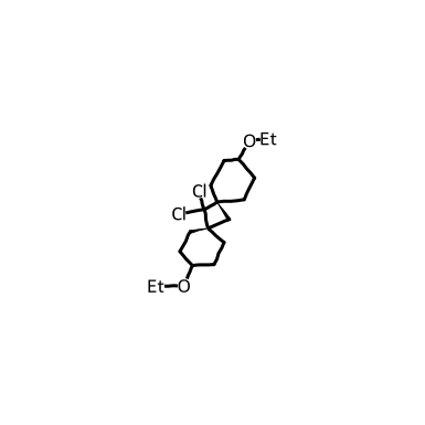 CCOC1CC[C@]2(CC1)C[C@@]1(CCC(OCC)CC1)C2(Cl)Cl